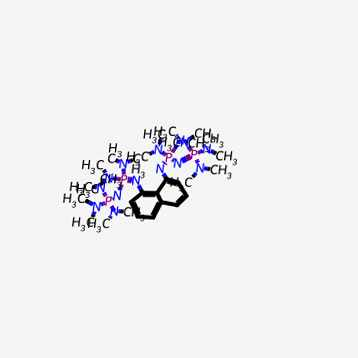 CN(C)P(=Nc1cccc2cccc(N=P(N=P(N(C)C)(N(C)C)N(C)C)(N(C)C)N(C)C)c12)(N=P(N(C)C)(N(C)C)N(C)C)N(C)C